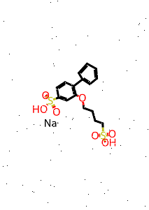 O=S(=O)(O)CCCCOc1cc(S(=O)(=O)O)ccc1-c1ccccc1.[Na]